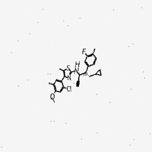 C#CC(Nc1nc(-c2cc(C)c(OC)cc2Cl)c(C)s1)[C@@H](CC1CC1)c1ccc(C)c(F)c1